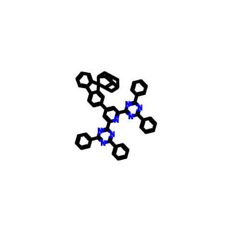 c1ccc(-c2nc(-c3ccccc3)nc(-c3cc(-c4ccc5c(c4)C4(c6ccccc6-5)C5CC6CC(C5)CC4C6)cc(-c4nc(-c5ccccc5)nc(-c5ccccc5)n4)n3)n2)cc1